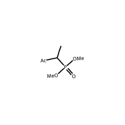 COP(=O)(OC)C(C)C(C)=O